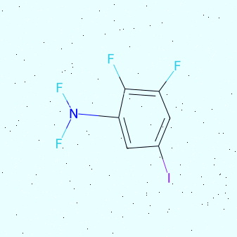 Fc1cc(I)cc(N(F)F)c1F